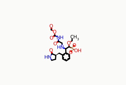 CCOC(C(NCC(=O)NC(=O)OC=O)c1ccccc1C[C@H]1CCNC1=O)S(=O)(=O)O